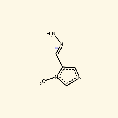 Cn1cncc1/C=N/N